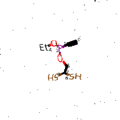 C#CP(OCC)OCC(S)S